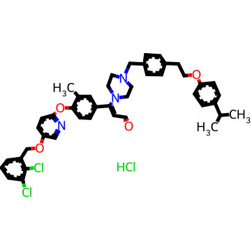 Cc1cc(C(=CC=O)N2CCN(Cc3ccc(CCOc4ccc(C(C)C)cc4)cc3)CC2)ccc1Oc1ccc(OCc2cccc(Cl)c2Cl)cn1.Cl